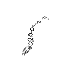 CCCCOCCCCOc1ccc(-c2cnc(-c3ccc4c(c3F)C(F)(F)C(CC(F)(F)C(F)(F)C(F)(F)C(F)(F)C(F)(F)C(F)(F)F)O4)nc2)cc1